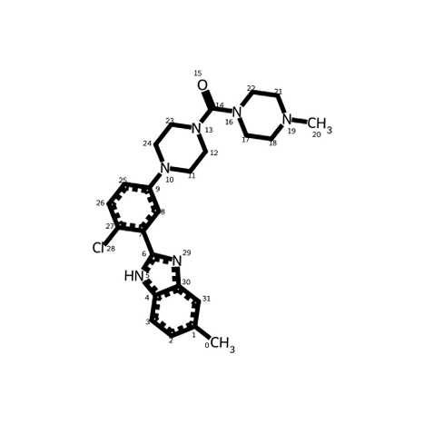 Cc1ccc2[nH]c(-c3cc(N4CCN(C(=O)N5CCN(C)CC5)CC4)ccc3Cl)nc2c1